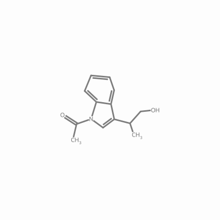 CC(=O)n1cc(C(C)CO)c2ccccc21